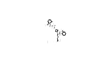 CC(C)c1nn(-c2noc([C@H]3C[C@@H](N(CCCNC(=O)O)S(=O)(=O)c4ccccc4[N+](=O)[O-])C3)n2)c2c(F)cccc12